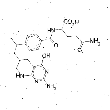 CC(CC1CNc2nc(N)nc(O)c2C1)c1ccc(C(=O)N[C@@H](CCC(N)=O)C(=O)O)cc1